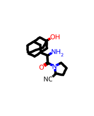 N#CC1CCCN1C(=O)C(N)C12CC3CC(CC(O)(C3)C1)C2